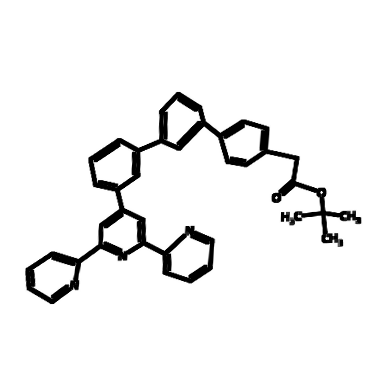 CC(C)(C)OC(=O)Cc1ccc(-c2cccc(-c3cccc(-c4cc(-c5ccccn5)nc(-c5ccccn5)c4)c3)c2)cc1